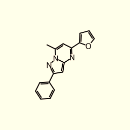 Cc1cc(-c2ccco2)nc2cc(-c3ccccc3)nn12